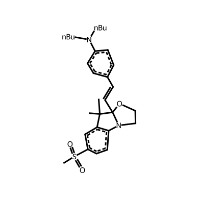 CCCCN(CCCC)c1ccc(C=CC23OCCN2c2ccc(S(C)(=O)=O)cc2C3(C)C)cc1